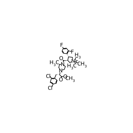 COC(=O)[C@H](Cc1ccc(Cl)cc1Cl)N1CCN(C(=O)[C@@H]2CN(C(C)(C)C)C[C@H]2c2ccc(F)cc2F)[C@@H](C)C1